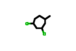 CC1CCC(Cl)CC(Cl)C1